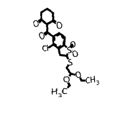 CCOC(CSC1Cc2c(ccc(C(=O)C3C(=O)CCCC3=O)c2Cl)S1(=O)=O)OCC